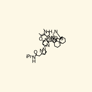 CO[C@H]1CCN(C)[C@@H]1[C@H](C)Oc1cc(-n2ccc(CC(=O)NC(C)C)n2)nc(-c2noc3c2CCC[C@@]32CCCc3sc(N)c(C#N)c32)n1